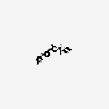 Cc1ccc(Oc2cccc(/C=C3\CCN(C(=O)Nc4cnc(C)cn4)CC3C)c2)cn1